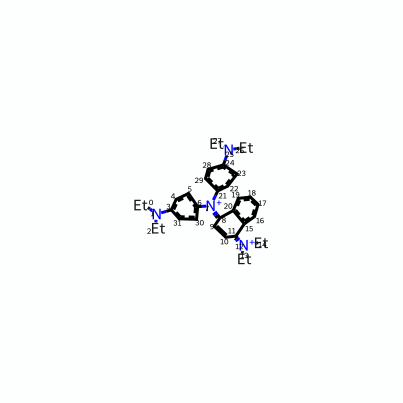 CCN(CC)c1ccc([N+](=C2C=CC(=[N+](CC)CC)c3ccccc32)c2ccc(N(CC)CC)cc2)cc1